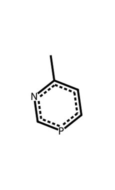 Cc1ccpcn1